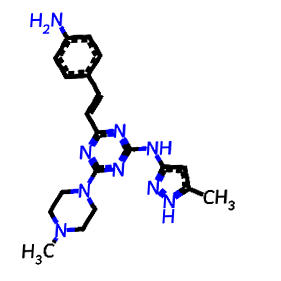 Cc1cc(Nc2nc(/C=C/c3ccc(N)cc3)nc(N3CCN(C)CC3)n2)n[nH]1